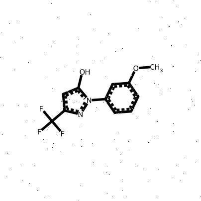 COc1cccc(-n2nc(C(F)(F)F)cc2O)c1